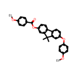 CCOc1ccc(Oc2ccc3c(c2)C(C)(C)c2cc(OC(=O)c4ccc(OCC)cc4)ccc2-3)cc1